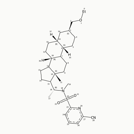 CCOC[C@H]1CC[C@@H]2C3CC[C@@]4(C)C(CCC4[C@@H](C)N(C)S(=O)(=O)c4cccc(C#N)n4)[C@@H]3CC[C@@H]2C1